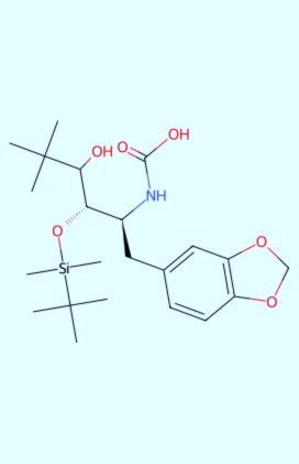 CC(C)(C)C(O)[C@@H](O[Si](C)(C)C(C)(C)C)[C@H](Cc1ccc2c(c1)OCO2)NC(=O)O